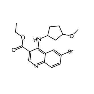 CCOC(=O)c1cnc2ccc(Br)cc2c1NC1CCC(OC)C1